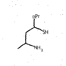 CCCC(S)CC(C)N